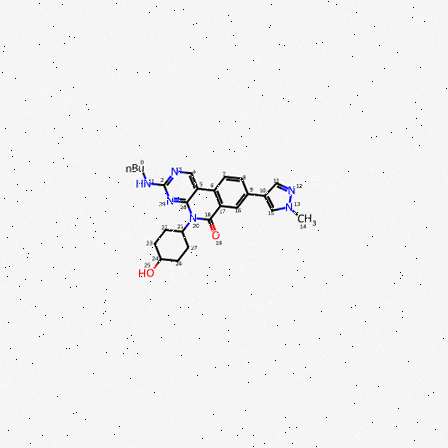 CCCCNc1ncc2c3ccc(-c4cnn(C)c4)cc3c(=O)n(C3CCC(O)CC3)c2n1